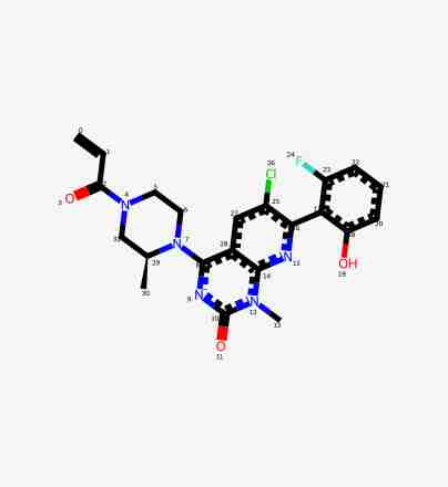 C=CC(=O)N1CCN(c2nc(=O)n(C)c3nc(-c4c(O)cccc4F)c(Cl)cc23)[C@@H](C)C1